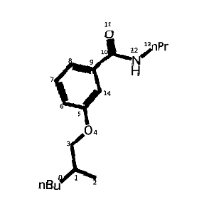 CCCCC(C)COc1cccc(C(=O)NCCC)c1